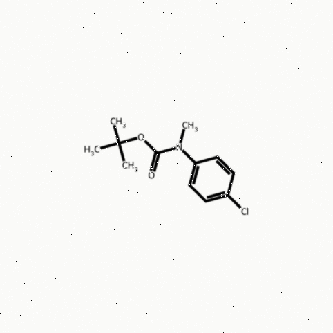 CN(C(=O)OC(C)(C)C)c1ccc(Cl)cc1